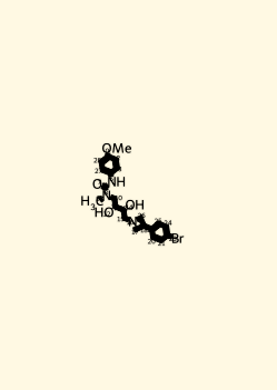 COc1ccc(NC(=O)N(C)CC(O)C(O)CN2CC(c3ccc(Br)cc3)C2)cc1